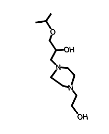 CC(C)OCC(O)CN1CCN(CCO)CC1